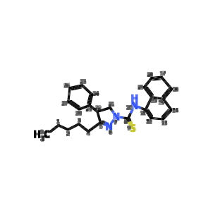 CCCCCC1=NN(C(=S)Nc2cccc3ccccc23)CC1c1ccccc1